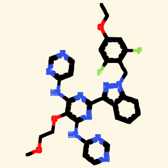 CCOc1cc(F)c(Cn2nc(-c3nc(Nc4ccncn4)c(OCCOC)c(Nc4ccncn4)n3)c3ccccc32)c(F)c1